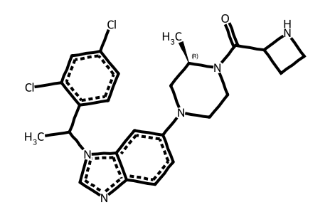 CC(c1ccc(Cl)cc1Cl)n1cnc2ccc(N3CCN(C(=O)C4CCN4)[C@H](C)C3)cc21